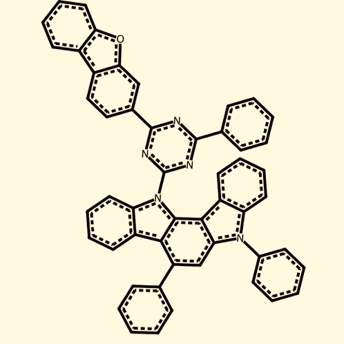 c1ccc(-c2nc(-c3ccc4c(c3)oc3ccccc34)nc(-n3c4ccccc4c4c(-c5ccccc5)cc5c(c6ccccc6n5-c5ccccc5)c43)n2)cc1